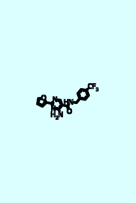 Nc1nc(-c2ccco2)ncc1C(=O)NCc1ccc(C(F)(F)F)cc1